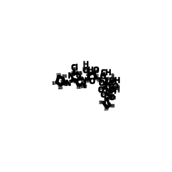 COCC(OC[C@H]1O[C@@H](n2ncc3c(NC4CCCC4)nc(Cl)nc32)[C@H](O)[C@@H]1O)(C(=O)NS(=O)(=O)N1CCC1)P(=O)(O)O